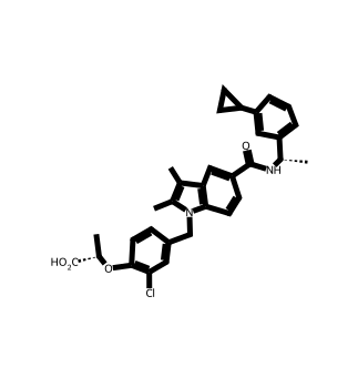 Cc1c(C)n(Cc2ccc(O[C@@H](C)C(=O)O)c(Cl)c2)c2ccc(C(=O)N[C@@H](C)c3cccc(C4CC4)c3)cc12